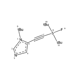 CC(C)(C)n1cncc1C#CS(F)(C(C)(C)C)C(C)(C)C